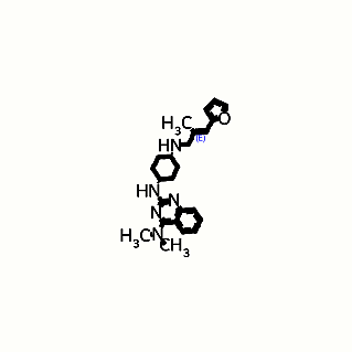 C/C(=C\c1ccco1)CN[C@H]1CC[C@@H](Nc2nc(N(C)C)c3ccccc3n2)CC1